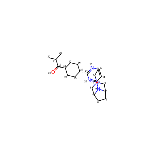 CCN1CC2CCC(C1)N2c1ccnc([C@H]2CC[C@H](C(=O)C(C)C)CC2)n1